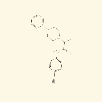 CC(C(=O)Nc1ccc(C#N)cc1)C1CCC(c2ccccc2)CC1